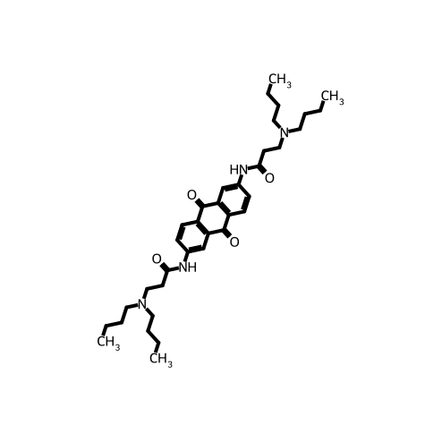 CCCCN(CCCC)CCC(=O)Nc1ccc2c(c1)C(=O)c1ccc(NC(=O)CCN(CCCC)CCCC)cc1C2=O